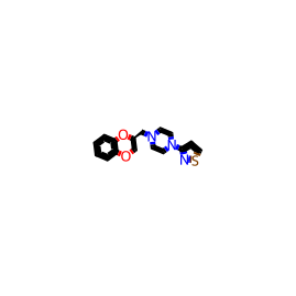 c1ccc2c(c1)OC[C@H](CN1CCN(c3ccsn3)CC1)O2